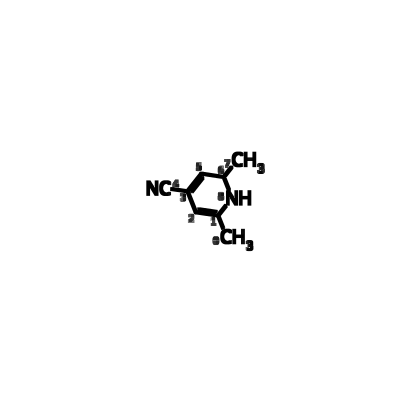 CC1=CC(C#N)=CC(C)N1